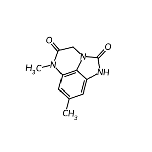 Cc1cc2c3c(c1)[nH]c(=O)n3CC(=O)N2C